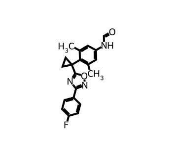 Cc1cc(NC=O)cc(C)c1C1(c2nc(-c3ccc(F)cc3)no2)CC1